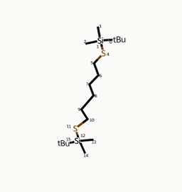 CC(C)(C)[Si](C)(C)SCCCCCCS[Si](C)(C)C(C)(C)C